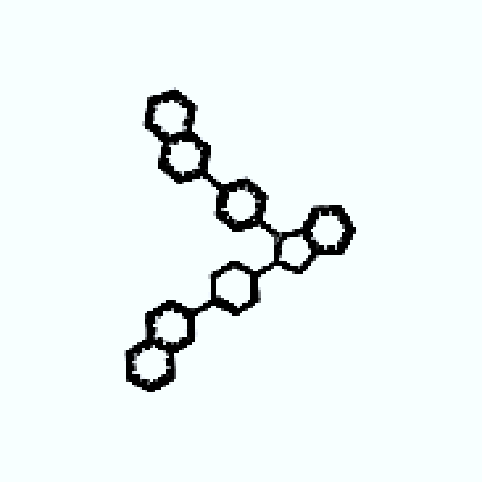 C1=C(c2ccc3ccccc3c2)CCC([C@@H]2Cc3ccccc3N2c2ccc(-c3ccc4ccccc4c3)cc2)=C1